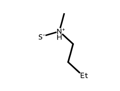 CCCC[NH+](C)[S-]